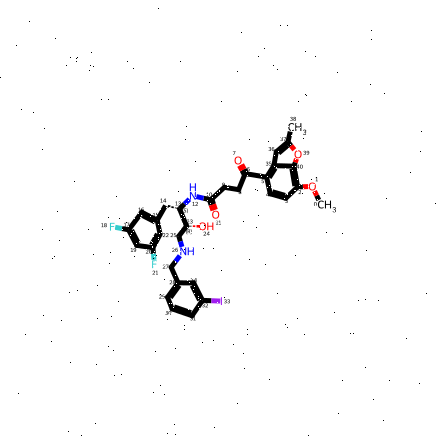 COc1ccc(C(=O)CCC(=O)N[C@@H](Cc2cc(F)cc(F)c2)[C@H](O)CNCc2cccc(I)c2)c2cc(C)oc12